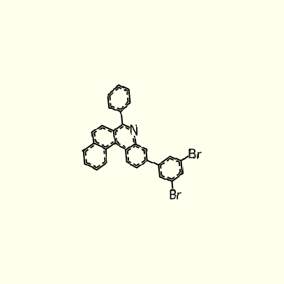 Brc1cc(Br)cc(-c2ccc3c(c2)nc(-c2ccccc2)c2ccc4ccccc4c23)c1